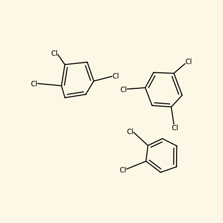 Clc1cc(Cl)cc(Cl)c1.Clc1ccc(Cl)c(Cl)c1.Clc1ccccc1Cl